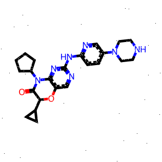 O=C1C(C2CC2)Oc2cnc(Nc3ccc(N4CCNCC4)cn3)nc2N1C1CCCC1